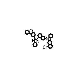 Clc1cccc2cc3c4ccccc4n(-c4ccc5c(-c6nc7ccccc7nc6-c6ccc7oc8ccccc8c7c6)cccc5c4)c3cc12